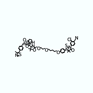 Cc1ncsc1-c1ccc(CNC(=O)[C@@H]2CCCN2C(=O)C(NC(=O)COCCCOCCCCCOc2ccc(N3C(=S)N(c4ccc(C#N)c(Cl)c4)C(=O)C3(C)C)cc2)C(C)(C)C)cc1